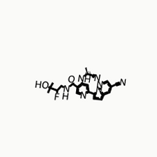 C[C@@H](C#N)Nc1cc(-c2ccc3cc(C#N)cnn23)ncc1C(=O)NCC(F)C(C)(C)O